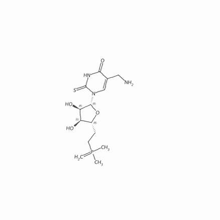 C=P(C)(C)CC[C@H]1O[C@@H](n2cc(CN)c(=O)[nH]c2=S)[C@H](O)[C@@H]1O